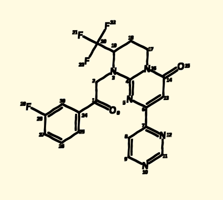 O=C(CN1c2nc(-c3ccncn3)cc(=O)n2CCC1C(F)(F)F)c1cccc(F)c1